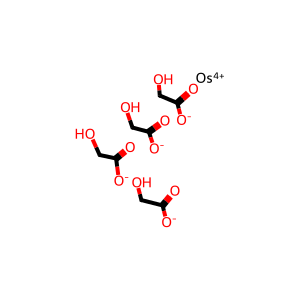 O=C([O-])CO.O=C([O-])CO.O=C([O-])CO.O=C([O-])CO.[Os+4]